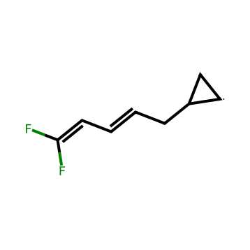 FC(F)=CC=CCC1[CH]C1